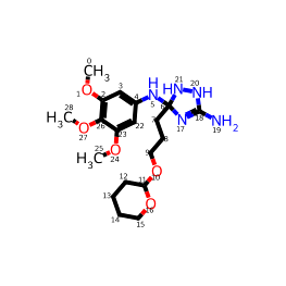 COc1cc(NC2(CCCOC3CCCCO3)N=C(N)NN2)cc(OC)c1OC